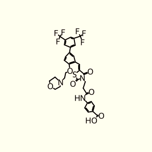 O=C(CCN1C(=O)SC(=Cc2cc(-c3cc(C(F)(F)F)cc(C(F)(F)F)c3)ccc2OCCN2CCOCC2)C1=O)Nc1ccc(C(=O)O)cc1